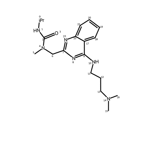 CC(C)NC(=O)N(C)Cc1nc(NCCCN(C)C)c2ccccc2n1